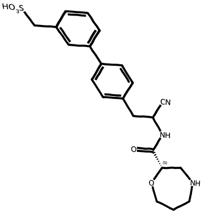 N#CC(Cc1ccc(-c2cccc(CS(=O)(=O)O)c2)cc1)NC(=O)[C@@H]1CNCCCO1